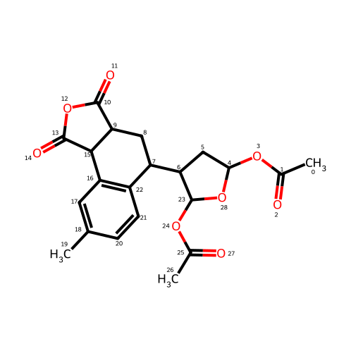 CC(=O)OC1CC(C2CC3C(=O)OC(=O)C3c3cc(C)ccc32)C(OC(C)=O)O1